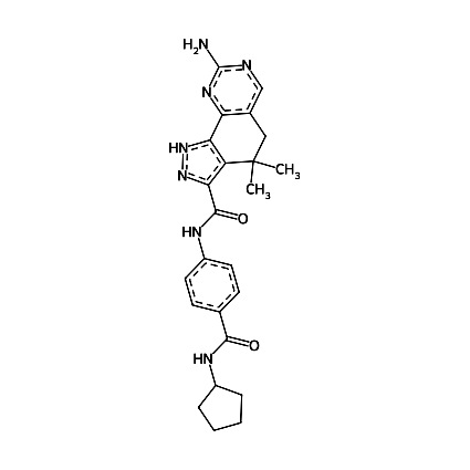 CC1(C)Cc2cnc(N)nc2-c2[nH]nc(C(=O)Nc3ccc(C(=O)NC4CCCC4)cc3)c21